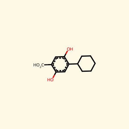 O=C(O)c1cc(O)c(C2CCCCC2)cc1O